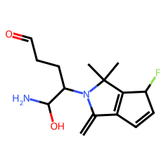 C=C1C2=C(C(F)C=C2)C(C)(C)N1C(CCC=O)C(N)O